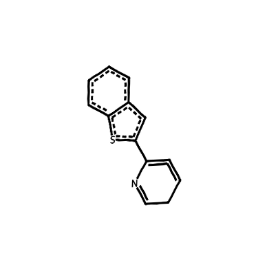 C1=CCC=NC=1c1cc2ccccc2s1